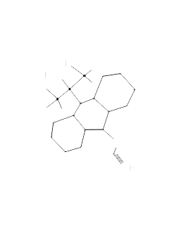 C=COC1C2CCCCC2C(C(C)(C(F)(F)F)C(F)(F)F)C2CCCCC21